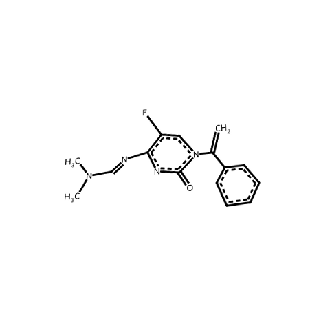 C=C(c1ccccc1)n1cc(F)c(/N=C/N(C)C)nc1=O